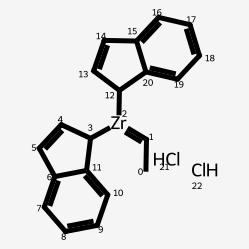 C[CH]=[Zr]([CH]1C=Cc2ccccc21)[CH]1C=Cc2ccccc21.Cl.Cl